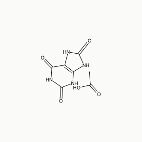 CC(=O)O.O=c1[nH]c(=O)c2[nH]c(=O)[nH]c2[nH]1